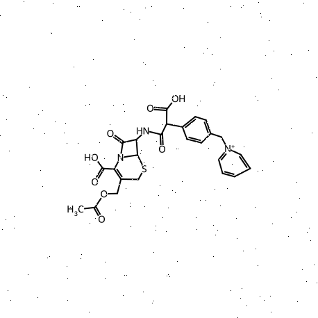 CC(=O)OCC1=C(C(=O)O)N2C(=O)C(NC(=O)C(C(=O)O)c3ccc(C[n+]4ccccc4)cc3)C2SC1